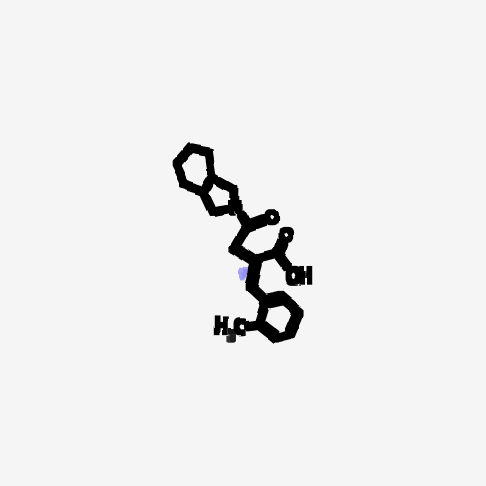 Cc1ccccc1/C=C(/CC(=O)N1CC2CCCCC2C1)C(=O)O